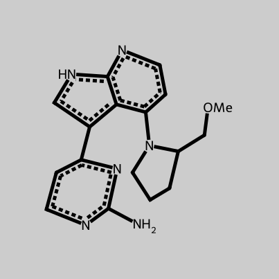 COCC1CCCN1c1ccnc2[nH]cc(-c3ccnc(N)n3)c12